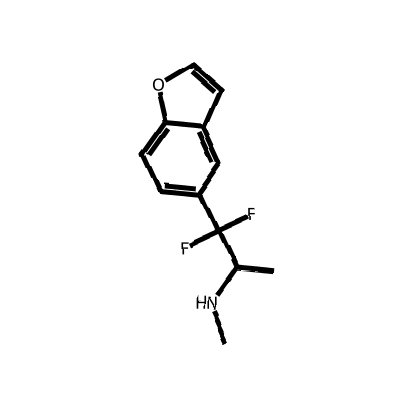 CNC(C)C(F)(F)c1ccc2occc2c1